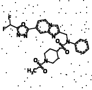 CS(=O)(=O)N1CCC(S(=O)(=O)N(Cc2cn3ccc(-c4nnc(C(F)F)o4)cc3n2)c2ccccc2)CC1